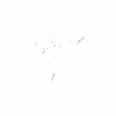 C=CCONP(=O)(O)OCC=C